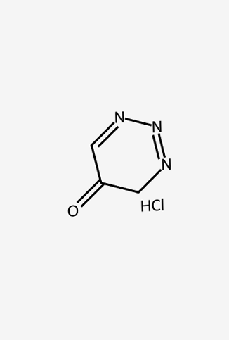 Cl.O=C1C=NN=NC1